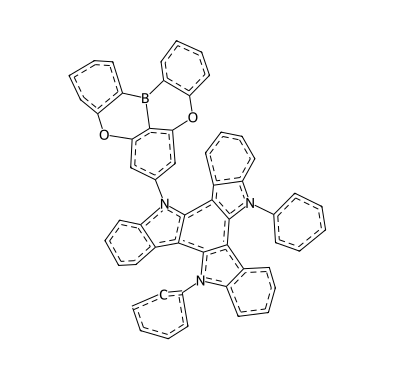 c1ccc(-n2c3ccccc3c3c2c2c4ccccc4n(-c4cc5c6c(c4)Oc4ccccc4B6c4ccccc4O5)c2c2c4ccccc4n(-c4ccccc4)c32)cc1